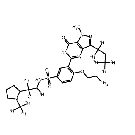 [2H]C(NS(=O)(=O)c1ccc(OCCC)c(-c2nc3c(C([2H])([2H])CC([2H])([2H])[2H])nn(C)c3c(=O)[nH]2)c1)C([2H])([2H])C1CCCN1C([2H])([2H])[2H]